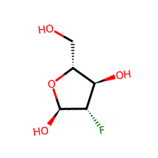 OC[C@H]1O[C@H](O)[C@@H](F)[C@@H]1O